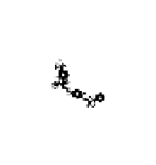 Cc1oc(-c2ccccc2)nc1COc1ccc(SCCC(Oc2ccc(C(F)(F)F)cc2)C(=O)O)cc1